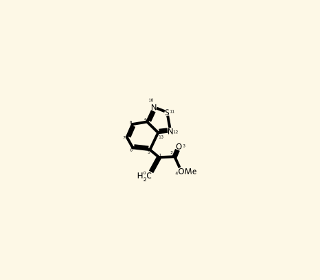 C=C(C(=O)OC)c1cccc2nsnc12